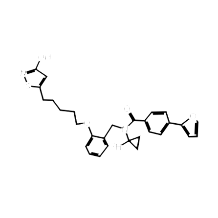 [2H]C1(N(Cc2ccccc2OCCCCCc2cc(O)ns2)C(=O)c2ccc(-c3ccco3)cc2)CC1